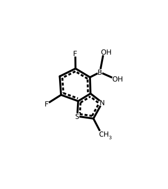 Cc1nc2c(B(O)O)c(F)cc(F)c2s1